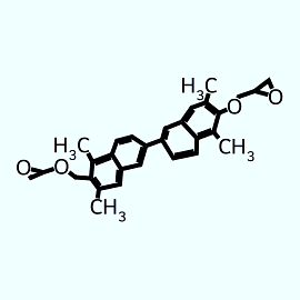 Cc1cc2cc(-c3ccc4c(C)c(OCC5CO5)c(C)cc4c3)ccc2c(C)c1COC1CO1